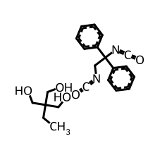 CCC(CO)(CO)CO.O=C=NCC(N=C=O)(c1ccccc1)c1ccccc1